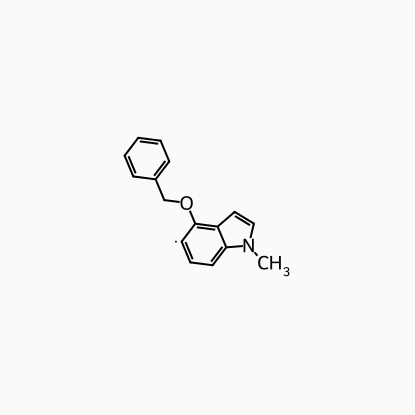 Cn1ccc2c(OCc3ccccc3)[c]ccc21